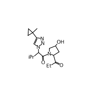 CCC(=O)C1CC(O)CN1C(=O)C(C(C)C)n1cc(C2(C)CC2)nn1